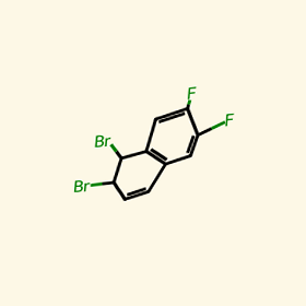 Fc1cc2c(cc1F)C(Br)C(Br)C=C2